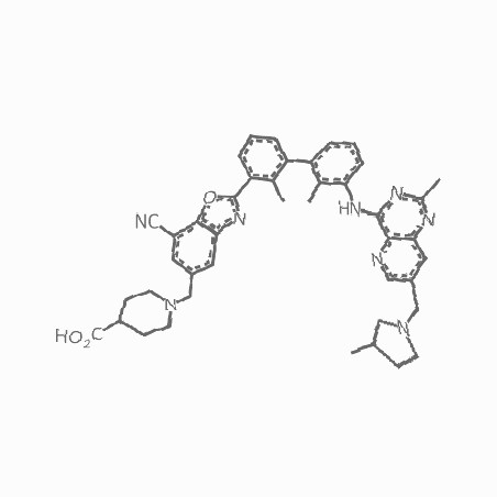 Cc1nc(Nc2cccc(-c3cccc(-c4nc5cc(CN6CCC(C(=O)O)CC6)cc(C#N)c5o4)c3C)c2C)c2ncc(CN3CCC(C)C3)cc2n1